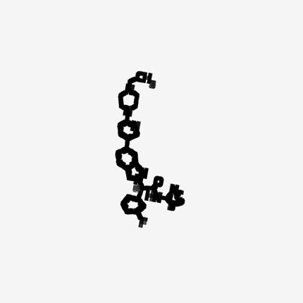 CCN1CCN(c2ccc(-c3ccc4cn([C@@H](C(=O)Nc5nccs5)c5cccc(F)c5)nc4c3)cn2)CC1